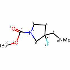 CNCC1(F)CCN(C(=O)OC(C)(C)C)C1